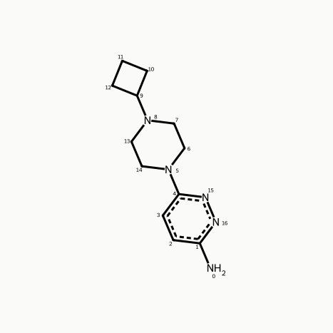 Nc1ccc(N2CCN(C3CCC3)CC2)nn1